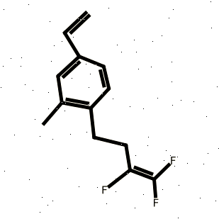 C=Cc1ccc(CCC(F)=C(F)F)c(C)c1